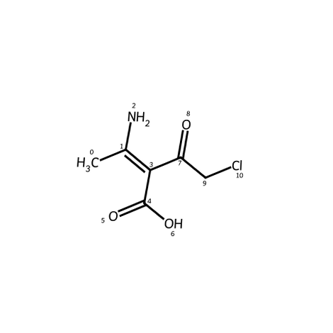 CC(N)=C(C(=O)O)C(=O)CCl